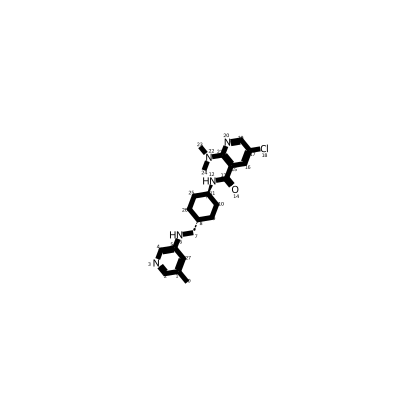 Cc1cncc(NC[C@H]2CC[C@H](NC(=O)c3cc(Cl)cnc3N(C)C)CC2)c1